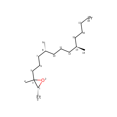 CC[C@H]1OC1(C)CCC[C@H](C)CCC[C@H](C)CCCC(C)C